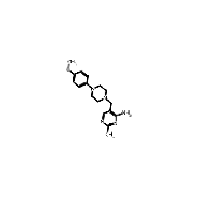 COc1ccc(N2CCN(Cc3cnc(C)nc3N)CC2)cc1